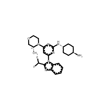 C[C@@H]1COCCN1c1cc(-n2c(C(F)F)nc3ccccc32)nc(N[C@H]2CC[C@H](N)CC2)n1